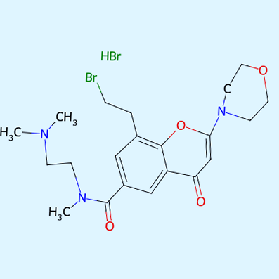 Br.CN(C)CCN(C)C(=O)c1cc(CCBr)c2oc(N3CCOCC3)cc(=O)c2c1